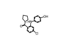 O=C(c1ccc(Cl)cc1Nc1ccc(O)cc1)N1CCCC1